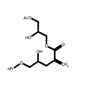 C=C(CC(O)COCCC)C(=O)OCC(O)COC(C)=O